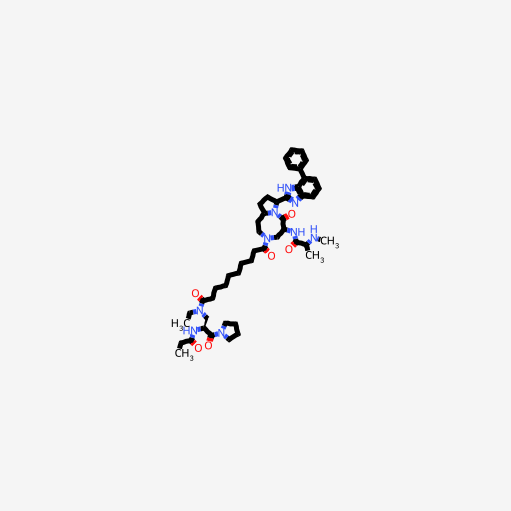 CCC(=O)N[C@@H](CN(CC)C(=O)CCCCCCCCC(=O)N1CCC2CCC(c3nc4cccc(-c5ccccc5)c4[nH]3)N2C(=O)C(NC(=O)C(C)NC)C1)C(=O)N1CCCC1